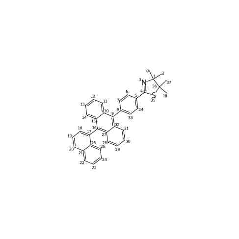 CC1(C)N=C(c2ccc(-c3c4ccccc4c(-c4cccc5ccccc45)c4ccccc34)cc2)SC1(C)C